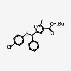 Cc1oc(C(Sc2ccc(Cl)cc2)c2ccccc2)cc1C(=O)OC(C)(C)C